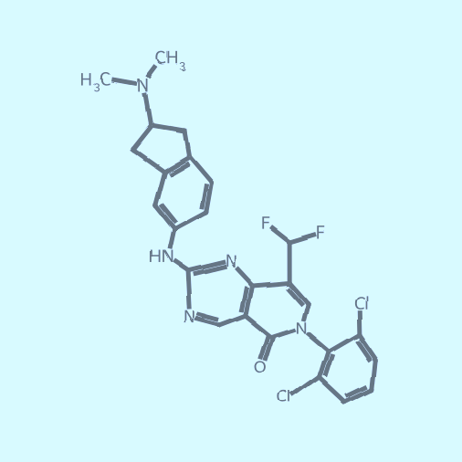 CN(C)C1Cc2ccc(Nc3ncc4c(=O)n(-c5c(Cl)cccc5Cl)cc(C(F)F)c4n3)cc2C1